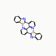 c1cnc(-c2ncccc2-c2nc3ccccc3s2)c(-c2nc3ccccc3s2)c1